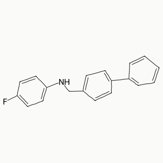 Fc1ccc(NCc2ccc(-c3ccccc3)cc2)cc1